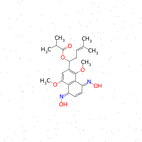 COc1cc(C(CC=C(C)C)OC(=O)C(C)C)c(OC)c2c1C(=NO)C=CC2=NO